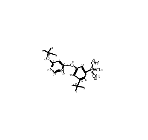 CC(C)(C)Oc1cc(Oc2cc(C(C)(C)C)cc(P(=O)(O)O)c2)ncn1